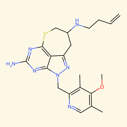 C=CCCNC1CSc2nc(N)nc3c2c(nn3Cc2ncc(C)c(OC)c2C)C1